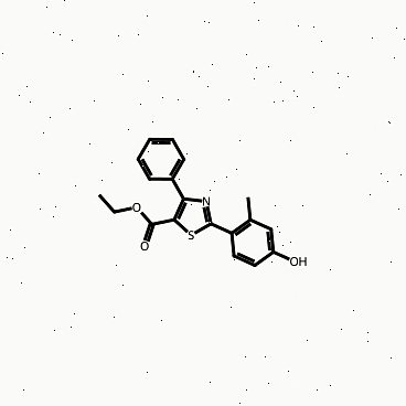 CCOC(=O)c1sc(-c2ccc(O)cc2C)nc1-c1ccccc1